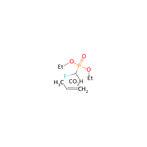 C=CC.CCOP(=O)(OCC)C(F)C(=O)O